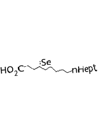 CCCCCCCCCCCCCCCC(=O)O.[Se]